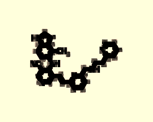 Cc1c(Nc2c(C#N)cncc2/C=C/c2cccc(CNCCc3ccccn3)n2)ccc2[nH]ccc12